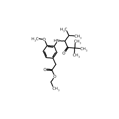 CCOC(=O)Cc1ccc(OC)c(NC(C(=O)C(C)(C)C)C(C)C)c1